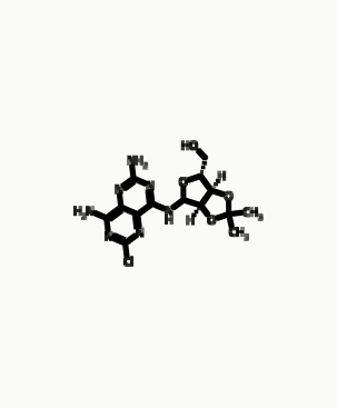 CC1(C)O[C@@H]2[C@@H](CO)OC(Nc3nc(N)nc4c(N)nc(Cl)nc34)[C@@H]2O1